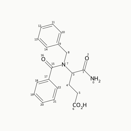 NC(=O)C(CCC(=O)O)N(Cc1ccccc1)C(=O)c1ccccc1